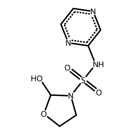 O=S(=O)(Nc1cnccn1)N1CCOC1O